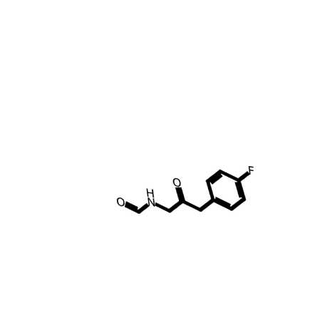 O=CNCC(=O)Cc1ccc(F)cc1